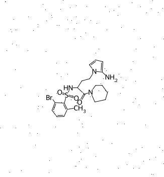 Cc1cccc(Br)c1S(=O)(=O)NC(CCn1cccc1N)C(=O)N1CCCCC1